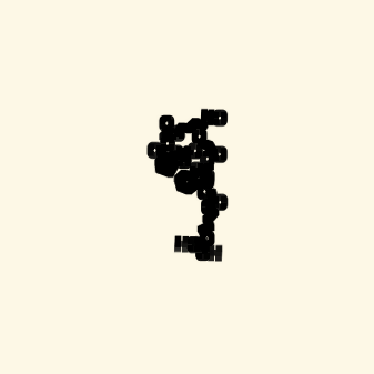 O=NCCCCOC(=O)COC(=O)c1ccccc1OC(=O)COC(=O)CC(=O)OCC(=O)Oc1ccccc1C(=O)OCC(=O)OCCCCON(O)O